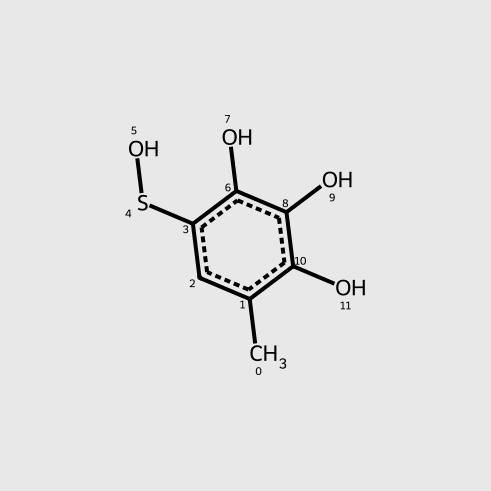 Cc1cc(SO)c(O)c(O)c1O